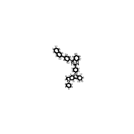 c1ccc(-n2ccc3cc4c(cc32)c2ccccc2n4-c2ccc(-c3nc(-c4ccc(-c5ccc6ccccc6c5)cc4)c4ccccc4n3)cc2)cc1